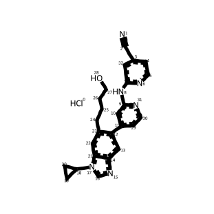 Cl.N#Cc1ccnc(Nc2cc(-c3cc4ncn(C5CC5)c4cc3CCCCO)ccn2)c1